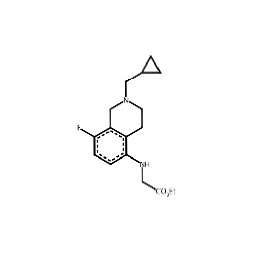 CCOC(=O)CNc1ccc(F)c2c1CCN(CC1CC1)C2